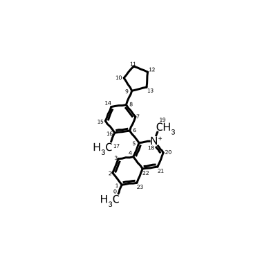 Cc1ccc2c(-c3cc(C4CCCC4)ccc3C)[n+](C)ccc2c1